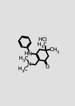 CN(C)CC1=C(Nc2ccccc2)CC(C)(C)CC1=O.Cl